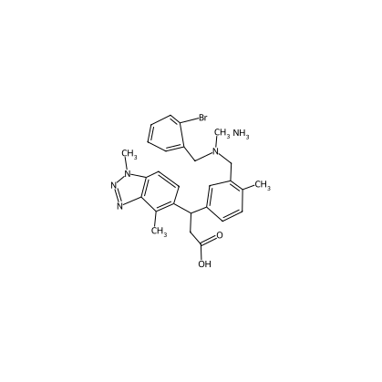 Cc1ccc(C(CC(=O)O)c2ccc3c(nnn3C)c2C)cc1CN(C)Cc1ccccc1Br.N